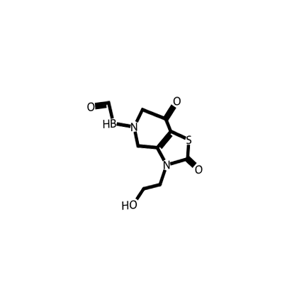 O=CBN1CC(=O)c2sc(=O)n(CCO)c2C1